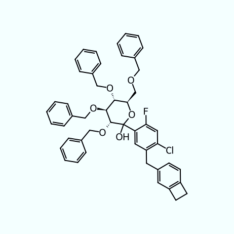 OC1(c2cc(Cc3ccc4c(c3)CC4)c(Cl)cc2F)O[C@H](COCc2ccccc2)[C@@H](OCc2ccccc2)[C@H](OCc2ccccc2)[C@H]1OCc1ccccc1